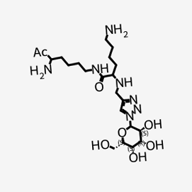 CC(=O)C(N)CCCCNC(=O)C(CCCCN)NCc1cn(C2O[C@@H](CO)[C@@H](O)[C@@H](O)[C@@H]2O)nn1